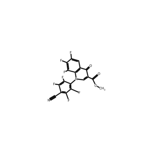 COC(=O)c1cn(-c2c(F)c(F)c(C#N)c(F)c2F)c2c(F)c(F)c(F)cc2c1=O